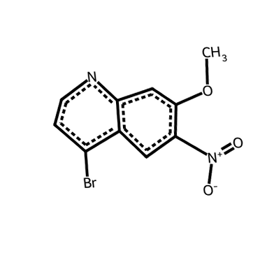 COc1cc2nccc(Br)c2cc1[N+](=O)[O-]